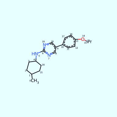 CC1CCC(Nc2ncc(-c3ccc(OC(C)C)cc3)cn2)CC1